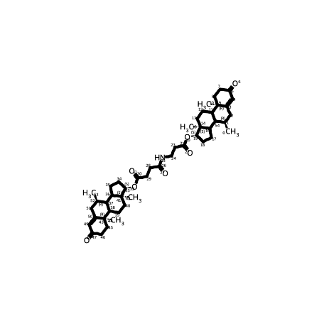 C[C@@H]1CC2=CC(=O)CC[C@]2(C)C2CC[C@@]3(C)C(CC[C@@H]3OC(=O)CCNC(=O)CCC(=O)O[C@H]3CCC4C5C(CC[C@@]43C)[C@@]3(C)CCC(=O)C=C3C[C@H]5C)C21